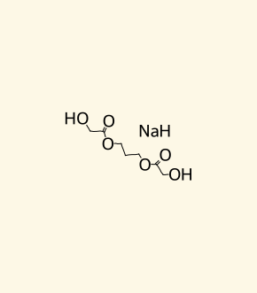 O=C(CO)OCCCOC(=O)CO.[NaH]